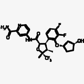 C[C@H]1[C@@H](c2ccc(F)c(F)c2O[C@H]2CC[C@@H](O)C2)[C@H](C(=O)Nc2ccnc(C(N)=O)c2)O[C@@]1(C)C(F)(F)F